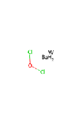 ClOCl.[BaH2].[W]